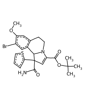 COc1cc2c(cc1Br)C1N(CC2)C(C(=O)OC(C)(C)C)=CC1(C(N)=O)c1cccs1